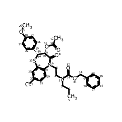 CCCN(CCN1C(=O)[C@@H](OC(C)=O)[C@@H](c2ccc(OC)cc2)Sc2cc(Cl)ccc21)C(=O)OCc1ccccc1